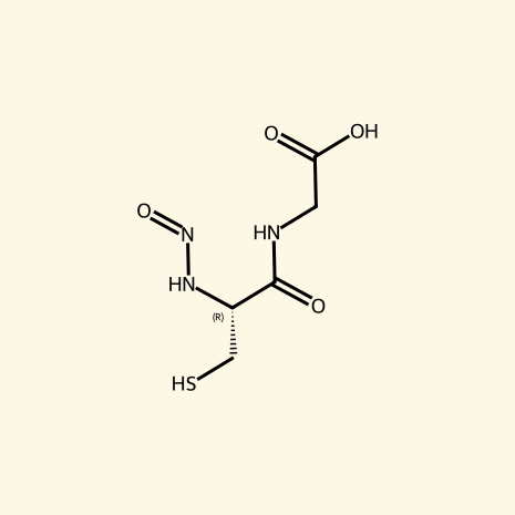 O=NN[C@@H](CS)C(=O)NCC(=O)O